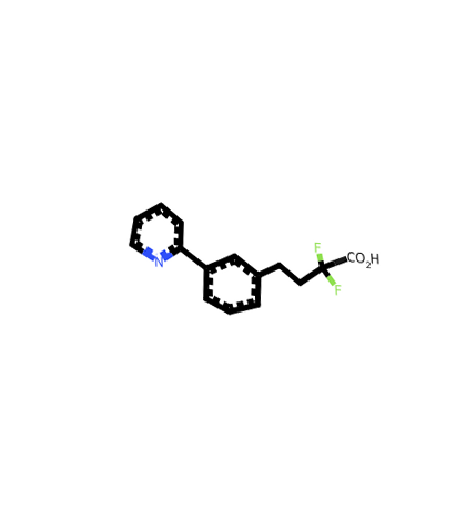 O=C(O)C(F)(F)CCc1cccc(-c2ccccn2)c1